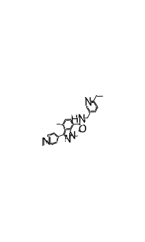 CCc1ccc(CNC(=O)c2ccc(C)c3c(-c4ccncc4)nn(C)c23)cn1